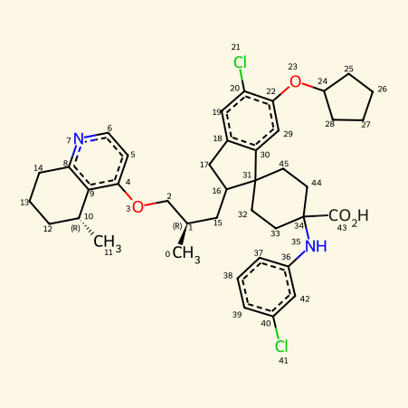 C[C@@H](COc1ccnc2c1[C@H](C)CCC2)CC1Cc2cc(Cl)c(OC3CCCC3)cc2C12CCC(Nc1cccc(Cl)c1)(C(=O)O)CC2